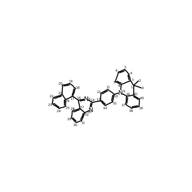 CC1(C)c2ccccc2N(c2ccc(-c3nc(-c4cccc5ccccc45)c4ccccc4n3)cc2)c2ccccc21